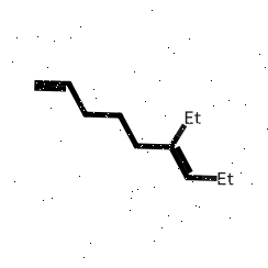 C=CCCC/C(=C/CC)CC